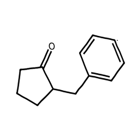 O=C1CCCC1Cc1cc[c]cc1